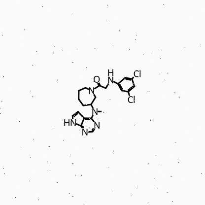 CN(c1ncnc2[nH]ccc12)C1CCCCN(C(=O)CNc2cc(Cl)cc(Cl)c2)C1